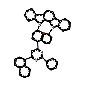 c1ccc(-c2nc(-c3ccc(-n4c5ccccc5c5ccc6c7ccccc7n(-c7ccccc7)c6c54)cc3)cc(-c3cccc4ccccc34)n2)cc1